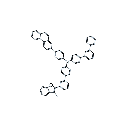 Cc1c(-c2cccc(-c3ccc(N(c4ccc(-c5cccc(-c6ccccc6)c5)cc4)c4ccc(-c5ccc6c(ccc7ccccc76)c5)cc4)cc3)c2)oc2ccccc12